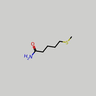 CSCCCCC(N)=O